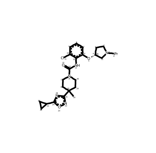 CC(C)N1CC[C@@H](Oc2cccc(Cl)c2NC(=O)N2CCC(C)(c3noc(C4CC4)n3)CC2)C1